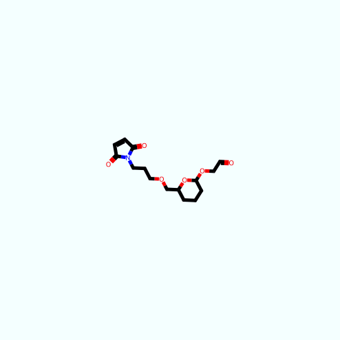 O=CCOC1CCCC(COCCCN2C(=O)C=CC2=O)O1